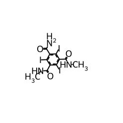 CNC(=O)c1c(I)c(C(N)=O)c(I)c(C(=O)NC)c1I